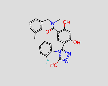 Cc1cccc(CN(C)C(=O)c2cc(-c3nnc(O)n3-c3ccccc3F)c(O)cc2O)c1